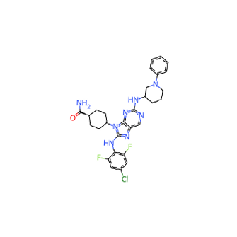 NC(=O)[C@H]1CC[C@@H](n2c(Nc3c(F)cc(Cl)cc3F)nc3cnc(N[C@@H]4CCCN(c5ccccc5)C4)nc32)CC1